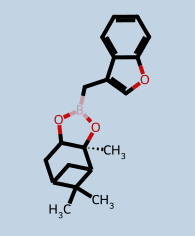 CC1(C)C2CC3OB(Cc4coc5ccccc45)O[C@@]3(C)C1C2